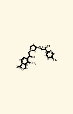 Cc1c(C(O)CN2CC[C@@H](NCC(O)c3ccc(C#N)cn3)C2)ccc2c1COC2=O